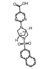 O=C(O)c1cnc(N2C[C@@H]3C[C@@H]2CN3S(=O)(=O)c2ccc3ccccc3c2)nc1